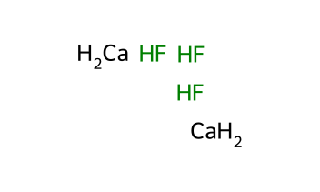 F.F.F.[CaH2].[CaH2]